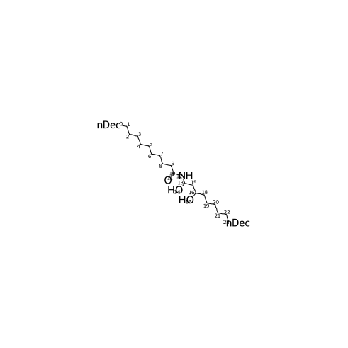 CCCCCCCCCCCCCCCCCCCC(=O)NC(O)CC(O)CCCCCCCCCCCCCCC